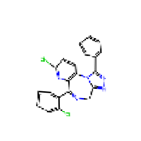 Clc1ccc2c(n1)C(c1ccccc1Cl)=NCc1nnc(-c3ccccc3)n1-2